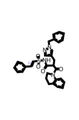 O=C(NS(=O)(=O)/C=C/c1ccccc1)C(Cc1cnn(Cc2ccccc2)c1)C(=O)N1CCCc2ccccc21